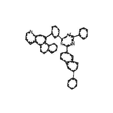 c1ccc(-c2ccc3cc(-c4nc(-c5ccccc5)nc(-c5cccc(-c6cc7ncccc7c7ccc8ccccc8c67)c5)n4)ccc3c2)cc1